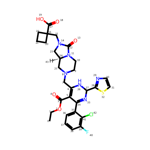 CCOC(=O)C1=C(CN2CCN3C(=O)N(CC4(C(=O)O)CCC4)C[C@@H]3C2)NC(c2nccs2)N=C1c1cccc(F)c1Cl